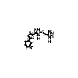 Fc1cccc(-c2ccc(-c3nnc(SCc4nnn[nH]4)[nH]3)o2)c1